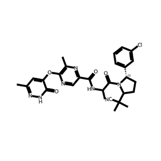 Cc1cc(Oc2ncc(C(=O)NC(C)C(=O)N3C(C(C)(C)C#N)CC[C@H]3c3cccc(Cl)c3)nc2C)c(=O)[nH]n1